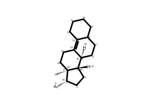 CC(=O)[C@H]1CC[C@H]2[C@@H]3CCC4CCCCC4=C3CC[C@]12C